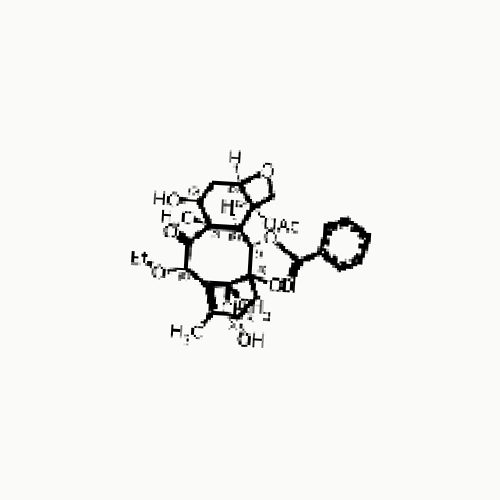 CCO[C@H]1C(=O)[C@@]2(C)[C@H]([C@H](OC(=O)c3ccccc3)[C@]3(O)C[C@H](O)C(C)=C1C3(C)C)[C@]1(OC(C)=O)CO[C@@H]1C[C@@H]2O